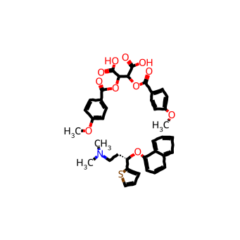 CN(C)CC[C@H](Oc1cccc2ccccc12)c1cccs1.COc1ccc(C(=O)OC(C(=O)O)C(OC(=O)c2ccc(OC)cc2)C(=O)O)cc1